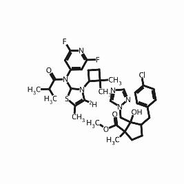 COC(=O)C1(C)CCC(Cc2ccc(Cl)cc2)C1(O)Cn1cncn1.[2H]C1=C(C)SC(N(C(=O)C(C)C)c2cc(F)nc(F)c2)N1C1CCC1(C)C